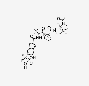 CC(=O)N1CC[C@@H]2CCN(C(=O)[C@@H]3CCCN3C(=O)C(NC(=O)c3cc4cc(C(F)(F)P(=O)(O)O)ccc4s3)C(C)(C)C)C[C@@H]21